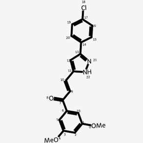 COc1cc(OC)cc(C(=O)/C=C/c2cc(-c3ccc(Cl)cc3)n[nH]2)c1